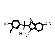 CCc1ccc(C(C)(C)c2c(C(=O)O)c3ccc(C#N)cc3n2C)cc1I